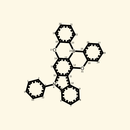 c1ccc(-n2c3ccccc3c3c4c5c(cc32)Oc2ccccc2B5c2ccccc2O4)cc1